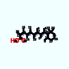 CC1=C(/C(C)=C(C)/C(C)=C(C)/C(C)=C(C)/C(C)=C(/C)C(=O)O)C(C)(C)CCC1